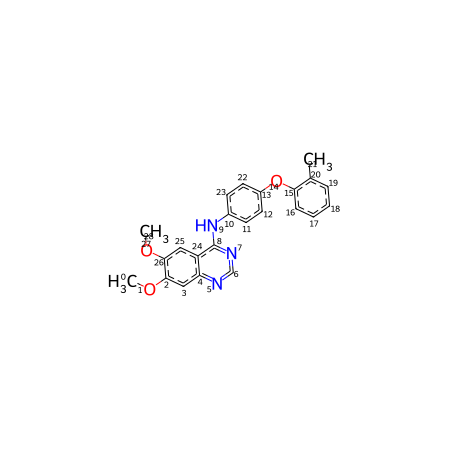 COc1cc2ncnc(Nc3ccc(Oc4ccccc4C)cc3)c2cc1OC